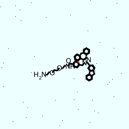 Cc1ccccc1-c1nc(-c2ccc3c(c2)-c2ccccc2C3)n(Cc2ccc(C(=O)NCCOCCOCCN)cc2)c1-c1ccccc1C